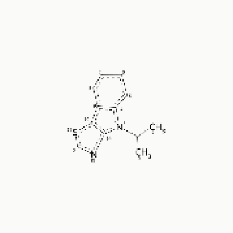 CC(C)n1c2ccccc2c2scnc21